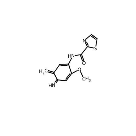 C=C1C=C(NC(=O)c2nccs2)C(OC)=CC1=N